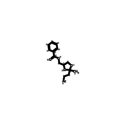 CC(=O)CCC1(C)OCC(COC(=O)c2ccccc2)O1